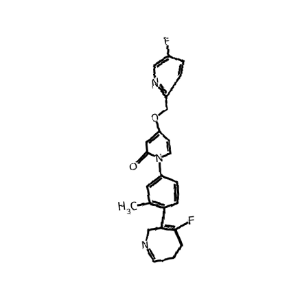 Cc1cc(-n2ccc(OCc3ccc(F)cn3)cc2=O)ccc1C1=C(F)CCC=NC1